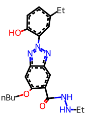 CCCCOc1cc2nn(-c3cc(CC)ccc3O)nc2cc1C(=O)NNCC